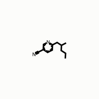 CCCC(C)Cc1ccc(C#N)cn1